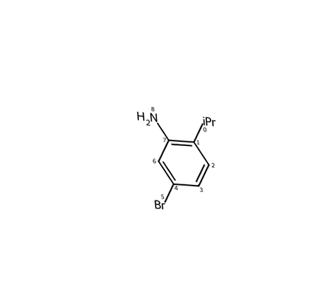 CC(C)c1ccc(Br)cc1N